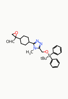 Cn1c(CO[Si](c2ccccc2)(c2ccccc2)C(C)(C)C)nnc1C1CCC(C2(C=O)CO2)CC1